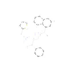 C[C@@H](NCC1CN(Cc2cccs2)CCC1c1ccccc1)c1cccc2ccccc12